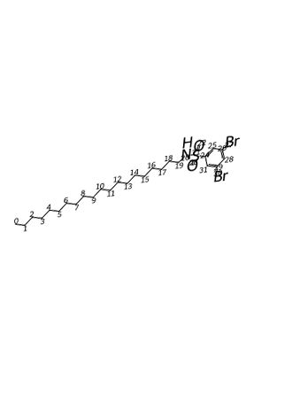 CCCCCCCCCCCCCCCCCCCCNS(=O)(=O)c1cc(Br)cc(Br)c1